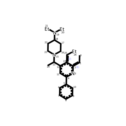 C/C=c1/nc(-c2ccccc2)cc(C(C)N2CCC(N(CC)CC)CC2)/c1=C/CC